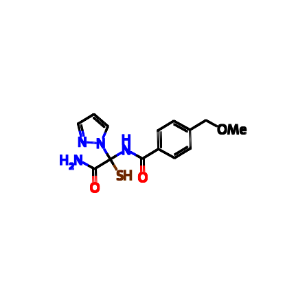 COCc1ccc(C(=O)NC(S)(C(N)=O)n2cccn2)cc1